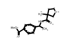 COC(=O)c1ccc(C(C)NC(=O)C2(N)CCOC2)cc1